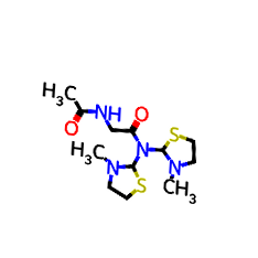 CC(=O)NCC(=O)N(C1SCCN1C)C1SCCN1C